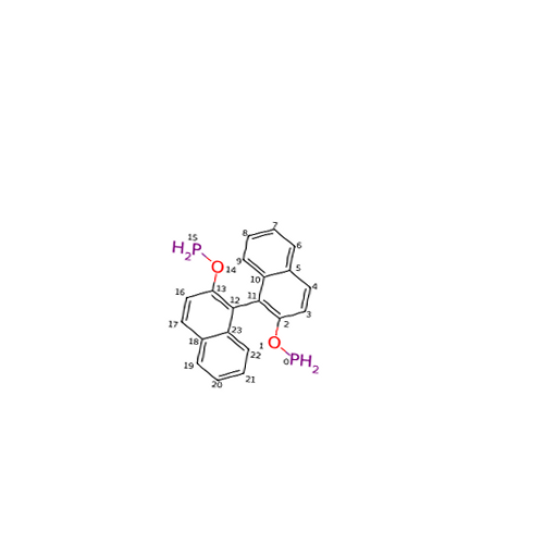 POc1ccc2ccccc2c1-c1c(OP)ccc2ccccc12